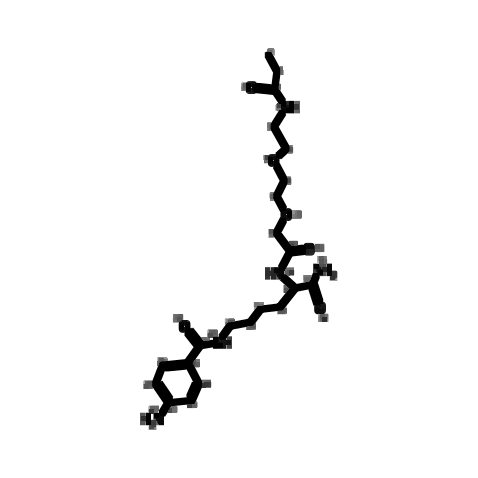 CCC(=O)NCCOCCOCC(=O)NC(CCCCNC(=O)c1ccc(N)cc1)C(N)=O